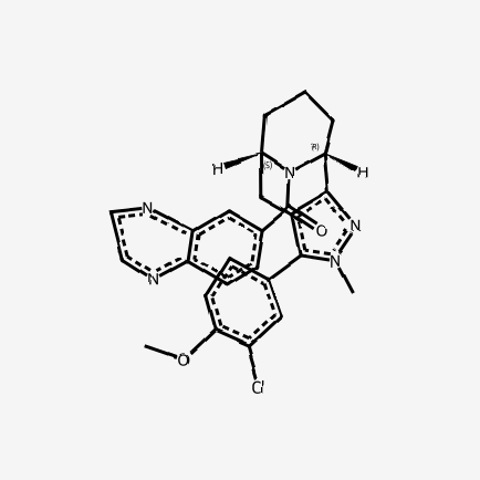 COc1ccc(-c2c3c(nn2C)[C@H]2CCC[C@@H](C3)N2C(=O)c2ccc3nccnc3c2)cc1Cl